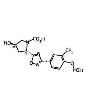 CCCCCCCCOc1ccc(-c2noc([C@@H]3C[C@@H](O)CN3C(=O)O)n2)cc1C(F)(F)F